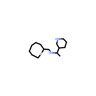 CC(NCC1CCCCCCC1)C1CCCNC1